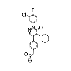 O=c1c(C2CCCCC2)c(-c2ccc(C[SH](=O)=O)cc2)cnn1-c1ccc(F)c(Cl)c1